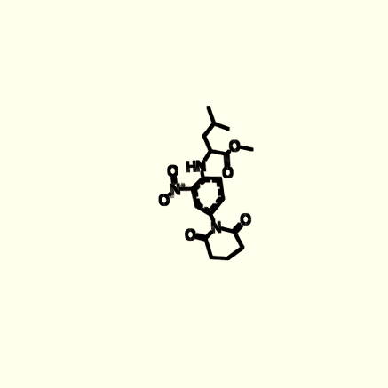 COC(=O)C(CC(C)C)Nc1ccc(N2C(=O)CCCC2=O)cc1[N+](=O)[O-]